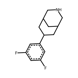 Fc1cc(F)cc(C2CC3CNCC(C3)C2)c1